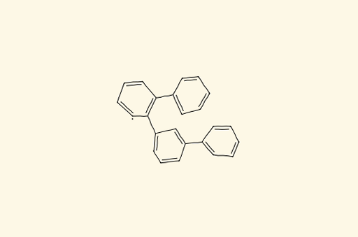 [c]1cccc(-c2ccccc2)c1-c1cccc(-c2ccccc2)c1